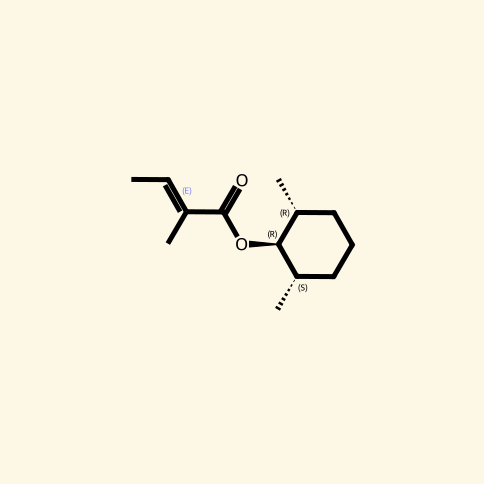 C/C=C(\C)C(=O)O[C@H]1[C@H](C)CCC[C@@H]1C